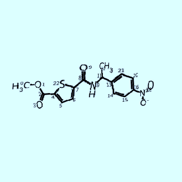 COC(=O)c1ccc(C(=O)NC(C)c2ccc([N+](=O)[O-])cc2)s1